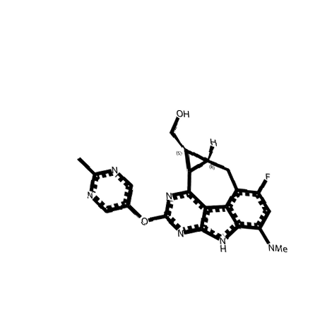 CNc1cc(F)c2c3c1[nH]c1nc(Oc4cnc(C)nc4)nc(c13)C1[C@@H](CO)[C@@H]1C2